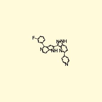 Fc1cccc(-c2nccc3[nH]c(-c4n[nH]c5ccc(-c6ccncc6)nc45)cc23)c1